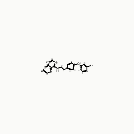 Ic1ccnc(Oc2ccc(CCNc3ncnc4nccnc34)cc2)c1